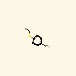 CC(C)CSc1ccc(C(=O)O)cc1